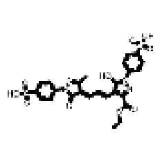 CCOC(=O)c1nn(-c2ccc(S(=O)(=O)O)cc2)c(O)c1C=CC=C1C(=O)N(c2ccc(S(=O)(=O)O)cc2)N=C1C